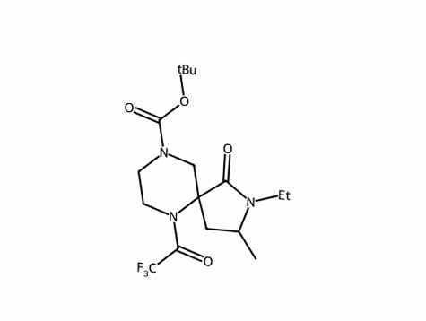 CCN1C(=O)C2(CC1C)CN(C(=O)OC(C)(C)C)CCN2C(=O)C(F)(F)F